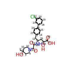 CC1(O)CCN(C(=O)C(=O)NC(Cc2ccc(-c3cccc(Cl)c3)cc2)CC(O)C(=O)O)CC1